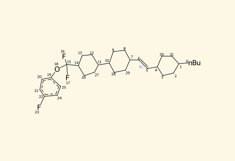 CCCCC1CCC(/C=C/C2CCC(C3CCC(C(F)(F)Oc4ccc(F)cc4)CC3)CC2)CC1